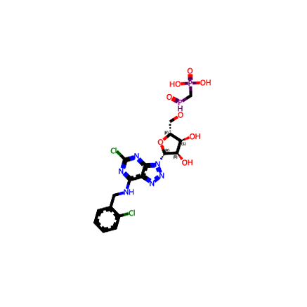 O=[PH](CP(=O)(O)O)OC[C@H]1O[C@@H](n2nnc3c(NCc4ccccc4Cl)nc(Cl)nc32)[C@H](O)[C@@H]1O